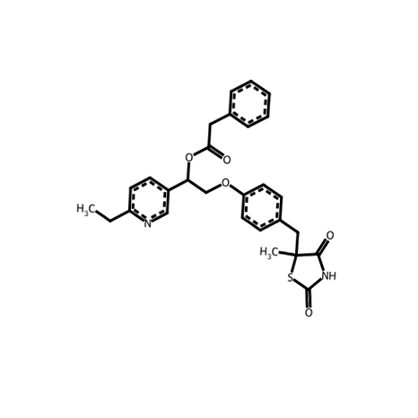 CCc1ccc(C(COc2ccc(CC3(C)SC(=O)NC3=O)cc2)OC(=O)Cc2ccccc2)cn1